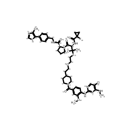 CNc1nc(Nc2ccc(C(=O)N3CCC(CCOCCSC(C)(C)[C@H](NC(=O)C4(F)CC4)C(=O)N4CCC[C@H]4C(=O)NCc4ccc(-c5scnc5C)cc4)CC3)cc2OC)ncc1Cl